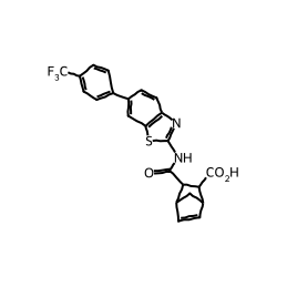 O=C(O)C1C2C=CC(C2)C1C(=O)Nc1nc2ccc(-c3ccc(C(F)(F)F)cc3)cc2s1